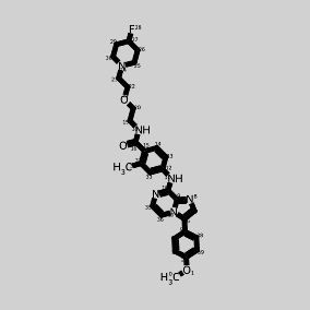 COc1ccc(-c2cnc3c(Nc4ccc(C(=O)NCCOCCN5CCC(F)CC5)c(C)c4)nccn23)cc1